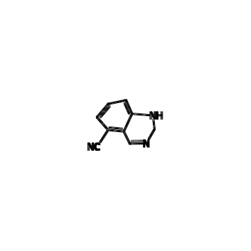 N#Cc1cccc2c1C=NCN2